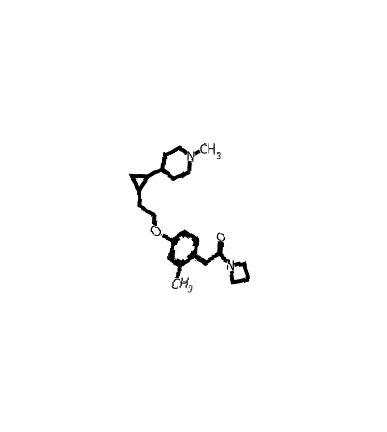 Cc1cc(OCCC2CC2C2CCN(C)CC2)ccc1CC(=O)N1CCC1